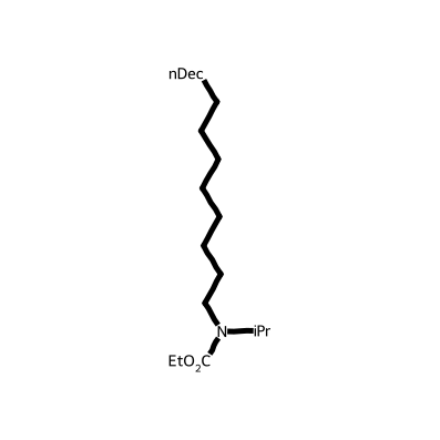 CCCCCCCCCCCCCCCCCCN(C(=O)OCC)C(C)C